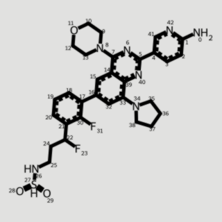 Nc1ccc(-c2nc(N3CCOCC3)c3cc(-c4cccc(C(F)CCN[SH](=O)=O)c4F)cc(N4CCCC4)c3n2)cn1